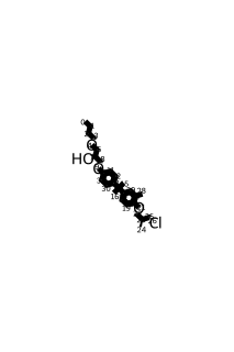 CCCCOC[C@H](O)COc1ccc(C(C)(C)c2ccc(OC[C@H](C)CCl)c(C)c2)cc1